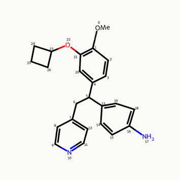 COc1ccc(C(Cc2ccncc2)c2ccc(N)cc2)cc1OC1CCC1